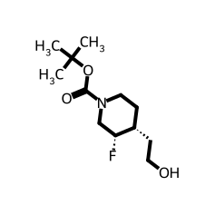 CC(C)(C)OC(=O)N1CC[C@H](CCO)[C@H](F)C1